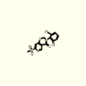 CS(=O)(=O)c1cc2c(cn1)C(=O)N(c1c(Cl)cccc1Cl)CO2